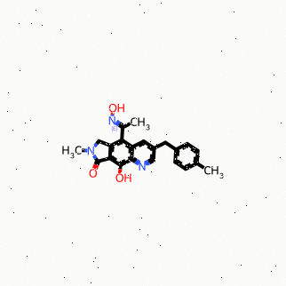 C/C(=N\O)c1c2c(c(O)c3ncc(Cc4ccc(C)cc4)cc13)C(=O)N(C)C2